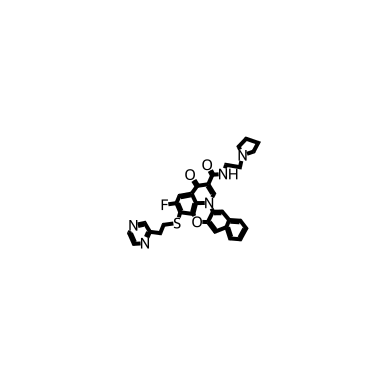 O=C(NCCN1CCCC1)c1cn2c3c(c(SCCc4cnccn4)c(F)cc3c1=O)Oc1cc3ccccc3cc1-2